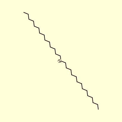 CCCCCCCCCCCCCC[Si]CCCCCCCCCCCCCC